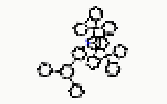 c1ccc(-c2cc(-c3ccccc3)cc(-c3ccc(N(c4cccc5c4-c4ccccc4C5(c4ccccc4)c4ccccc4)c4cccc5c4C4(c6ccccc6-c6ccccc64)c4ccccc4-5)cc3)c2)cc1